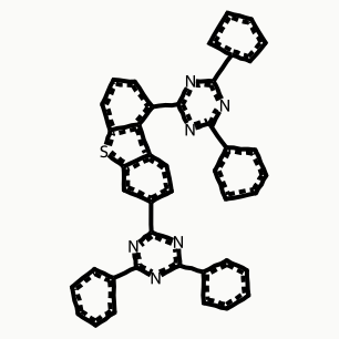 c1ccc(-c2nc(-c3ccccc3)nc(-c3ccc4c(c3)sc3cccc(-c5nc(-c6ccccc6)nc(-c6ccccc6)n5)c34)n2)cc1